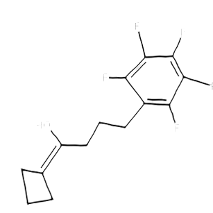 OC(CCCc1c(F)c(F)c(F)c(F)c1F)=C1CCC1